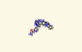 CN(C)C(=O)CN1CCC(c2cc(-c3ccc4cn(CC5CCCCC5)nc4c3)c3c(N)ncnn23)CC1